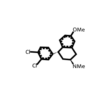 CN[C@@H]1Cc2cc(OC)ccc2[C@@H](c2ccc(Cl)c(Cl)c2)C1